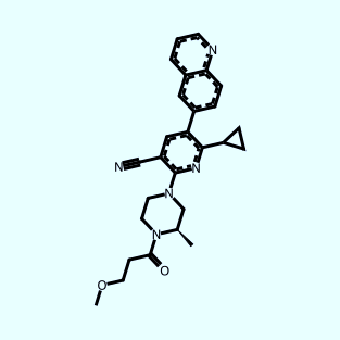 COCCC(=O)N1CCN(c2nc(C3CC3)c(-c3ccc4ncccc4c3)cc2C#N)C[C@H]1C